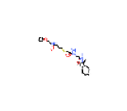 CCC(C)(NC(=O)CCNC(=O)CSCCCC(=O)NCCCOc1ccccc1)C1CCCCCCC1